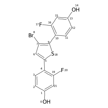 Oc1ccc(-c2cc(Br)c(-c3ccc(O)cc3F)s2)c(F)c1